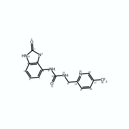 O=C1[N]c2c(cccc2NC(=O)NCc2ccc(C(F)(F)F)cn2)N1